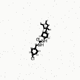 CCCC(C)(CCC)c1ccc(NC(=O)NCc2ccc(Cl)cc2)cc1